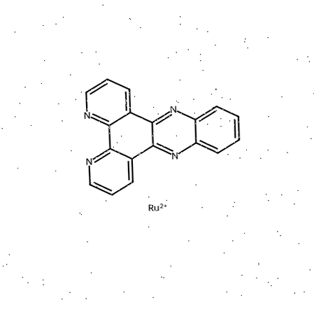 [Ru+2].c1ccc2nc3c4cccnc4c4ncccc4c3nc2c1